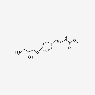 COC(=O)N/C=C/c1ccc(OCC(O)CN)cc1